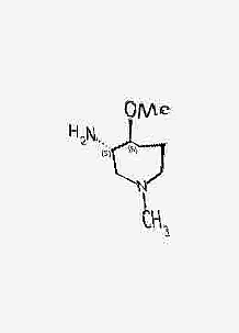 CO[C@H]1CCN(C)C[C@@H]1N